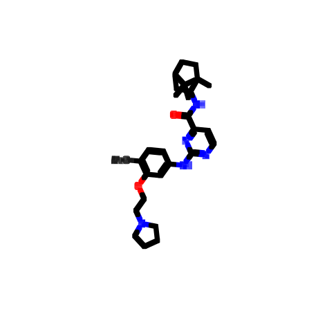 COc1ccc(Nc2nccc(C(=O)NC3CC4CCC3(C)C4(C)C)n2)cc1OCCN1CCCC1